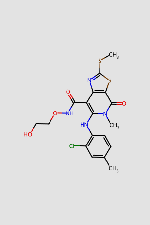 CSc1nc2c(C(=O)NOCCO)c(Nc3ccc(C)cc3Cl)n(C)c(=O)c2s1